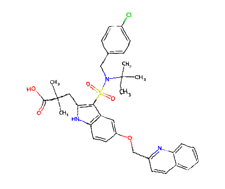 CC(C)(Cc1[nH]c2ccc(OCc3ccc4ccccc4n3)cc2c1S(=O)(=O)N(Cc1ccc(Cl)cc1)C(C)(C)C)C(=O)O